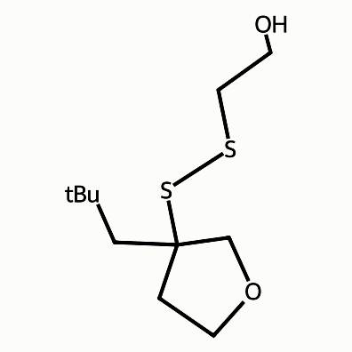 CC(C)(C)CC1(SSCCO)CCOC1